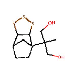 CC(CO)(CO)C12CCC(C1)C1SSSC12